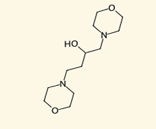 OC(CCN1CCOCC1)CN1CCOCC1